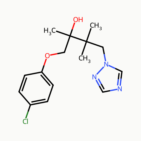 CC(C)(Cn1cncn1)C(C)(O)COc1ccc(Cl)cc1